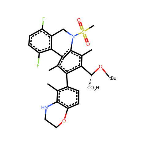 Cc1c(-c2c(C)c3c(c(C)c2[C@H](OC(C)(C)C)C(=O)O)N(S(C)(=O)=O)Cc2c(F)ccc(F)c2-3)ccc2c1NCCO2